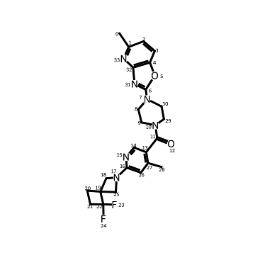 Cc1ccc2oc(N3CCN(C(=O)c4cnc(N5CC6(CCC6(F)F)C5)cc4C)CC3)nc2n1